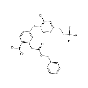 O=C(Cc1cc(Oc2ccc(CCC(F)(F)F)cc2Cl)ccc1[N+](=O)[O-])OCc1ccccc1